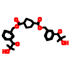 CC(C)(O)C(=O)c1cccc(COC(=O)C2CCC(C(=O)OCc3cccc(C(=O)C(C)(C)O)c3)CC2)c1